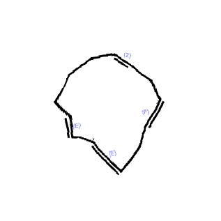 [C]1=C/C/C=C/C/C=C\CCC/C=C/1